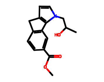 COC(=O)c1ccc2c(c1)-c1c(ccn1CC(C)O)C2